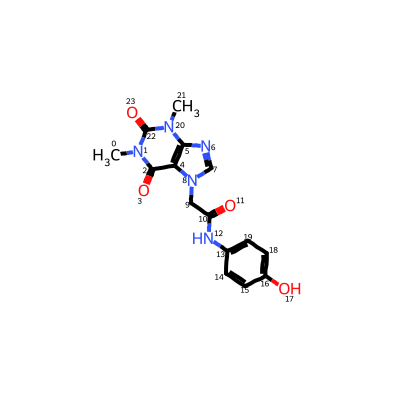 Cn1c(=O)c2c(ncn2CC(=O)Nc2ccc(O)cc2)n(C)c1=O